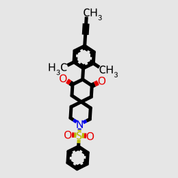 CC#Cc1cc(C)c(C2C(=O)CC3(CCN(S(=O)(=O)c4ccccc4)CC3)CC2=O)c(C)c1